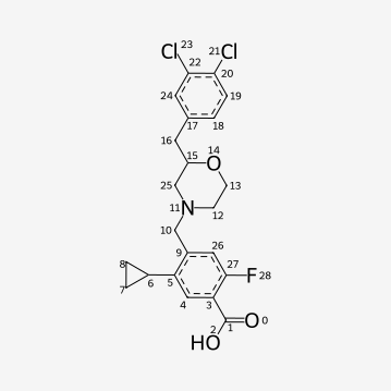 O=C(O)c1cc(C2CC2)c(CN2CCOC(Cc3ccc(Cl)c(Cl)c3)C2)cc1F